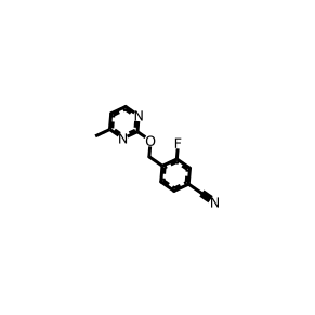 Cc1ccnc(OCc2ccc(C#N)cc2F)n1